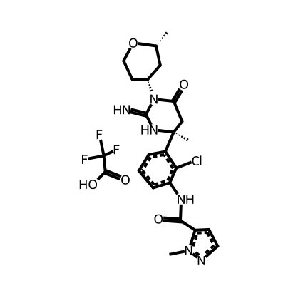 C[C@@H]1C[C@H](N2C(=N)N[C@](C)(c3cccc(NC(=O)c4ccnn4C)c3Cl)CC2=O)CCO1.O=C(O)C(F)(F)F